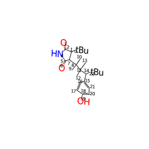 CC(C)(C)C1C(=O)NC(=O)C1C(C)(C)C(C)(C)C(c1ccc(O)cc1)C(C)(C)C